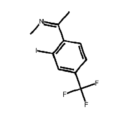 C/N=C(/C)c1ccc(C(F)(F)F)cc1I